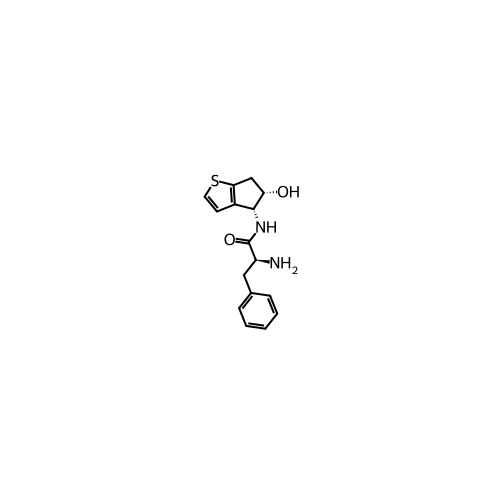 N[C@@H](Cc1ccccc1)C(=O)N[C@@H]1c2ccsc2C[C@@H]1O